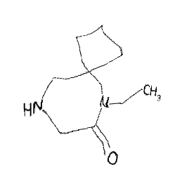 CN1C(=O)CNCC12CCC2